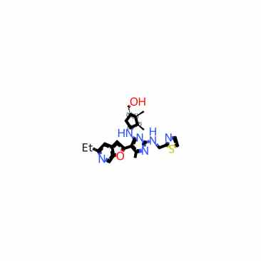 CCc1cc2cc(-c3c(C)nc(NCc4nccs4)nc3N[C@@H]3C[C@H](CO)[C@@H](C)[C@H]3C)oc2cn1